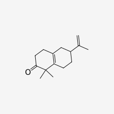 C=C(C)C1CCC2=C(CCC(=O)C2(C)C)C1